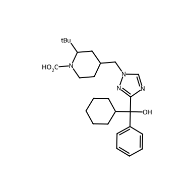 CC(C)(C)C1CC(Cn2cnc(C(O)(c3ccccc3)C3CCCCC3)n2)CCN1C(=O)O